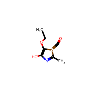 CCOC1=C(O)N=C(C)S1=C=O